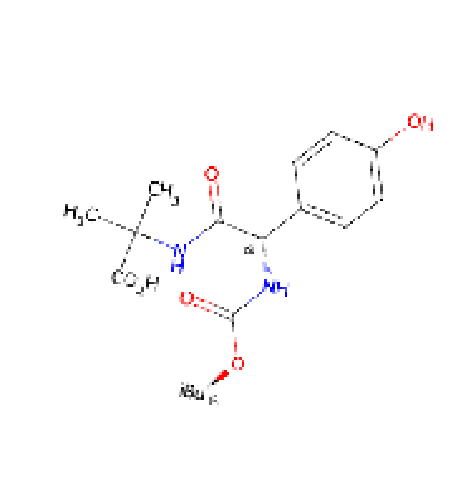 CC[C@H](C)OC(=O)N[C@H](C(=O)NC(C)(C)C(=O)O)c1ccc(O)cc1